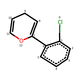 Clc1ccccc1C1=CCC=CO1